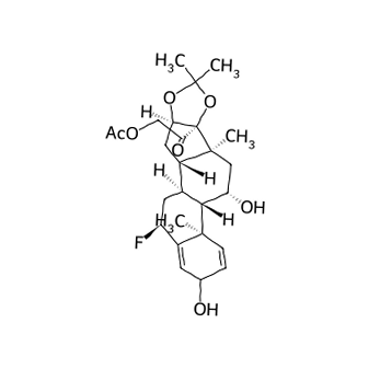 CC(=O)OCC(=O)[C@@]12OC(C)(C)O[C@@H]1C[C@H]1[C@@H]3C[C@H](F)C4=CC(O)C=C[C@]4(C)[C@H]3[C@@H](O)C[C@@]12C